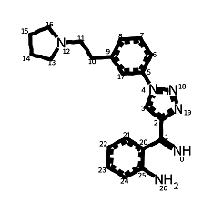 N=C(c1cn(-c2cccc(CCN3CCCC3)c2)nn1)c1ccccc1N